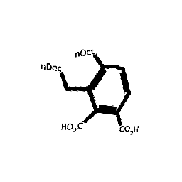 CCCCCCCCCCCc1c(CCCCCCCC)ccc(C(=O)O)c1C(=O)O